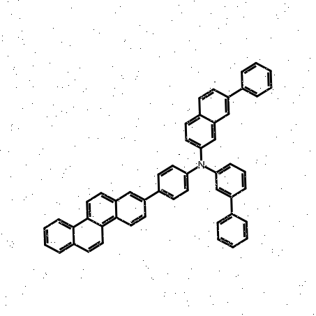 c1ccc(-c2cccc(N(c3ccc(-c4ccc5c(ccc6c7ccccc7ccc56)c4)cc3)c3ccc4ccc(-c5ccccc5)cc4c3)c2)cc1